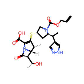 C=CCOC(=O)N1C[C@@H](SC2=C(C(=O)O)N3C(=O)[C@H]([C@@H](C)O)[C@H]3[C@H]2C)C[C@@H]1C(C)c1cn[nH]c1